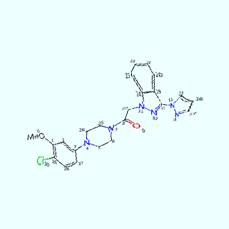 COc1cc(N2CCN(C(=O)Cn3nc(-n4cccn4)c4ccccc43)CC2)ccc1Cl